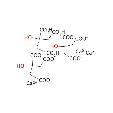 O=C(O)CC(O)(CC(=O)O)C(=O)O.O=C([O-])CC(O)(CC(=O)[O-])C(=O)[O-].O=C([O-])CC(O)(CC(=O)[O-])C(=O)[O-].[Ca+2].[Ca+2].[Ca+2]